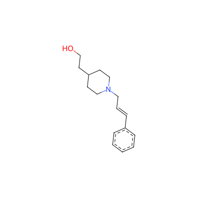 OCCC1CCN(C/C=C/c2ccccc2)CC1